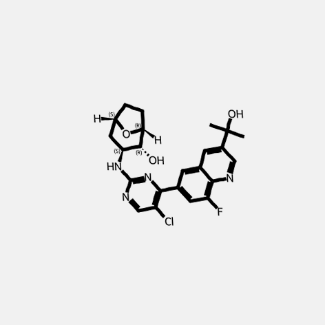 CC(C)(O)c1cnc2c(F)cc(-c3nc(N[C@H]4C[C@@H]5CC[C@@H](O5)[C@@H]4O)ncc3Cl)cc2c1